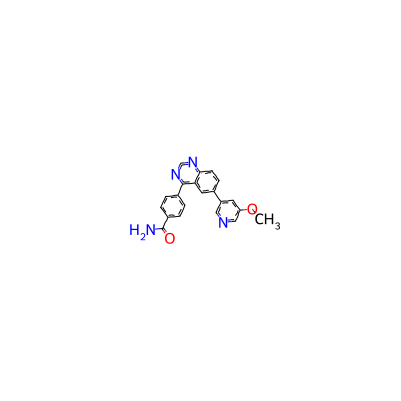 COc1cncc(-c2ccc3ncnc(-c4ccc(C(N)=O)cc4)c3c2)c1